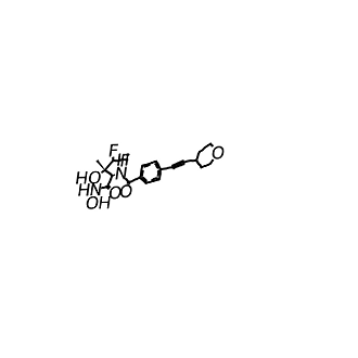 C[C@@](O)(C(F)F)[C@H](NC(=O)c1ccc(C#CC2CCOCC2)cc1)C(=O)NO